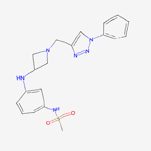 CS(=O)(=O)Nc1cccc(NC2CN(Cc3cn(-c4ccccc4)nn3)C2)c1